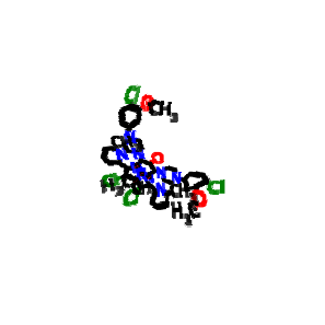 COc1cc(N2CCN(C(Cn3nc(-c4cccc(C)n4)c(Cl)c3C)C(=O)C(Cn3nc(-c4cccc(C)n4)c(Cl)c3C)N3CCN(c4ccc(Cl)c(OC)c4)CC3)CC2)ccc1Cl